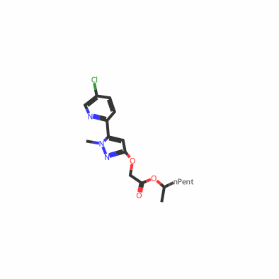 CCCCCC(C)OC(=O)COc1cc(-c2ccc(Cl)cn2)n(C)n1